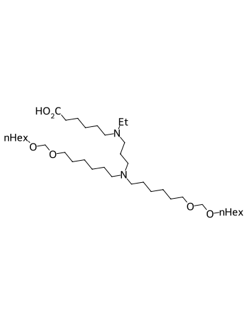 CCCCCCOCOCCCCCCN(CCCCCCOCOCCCCCC)CCCN(CC)CCCCCC(=O)O